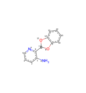 Nc1cccnc1B1Oc2ccccc2O1